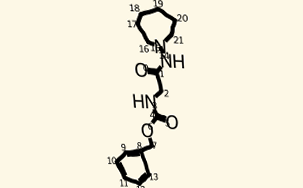 O=C(CNC(=O)OCc1ccccc1)NN1CCCCCC1